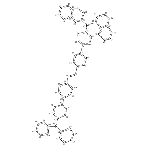 C(=C\c1ccc(-c2ccc(N(c3ccc4ccccc4c3)c3cccc4ccccc34)cc2)cc1)/c1ccc(-c2ccc(N(c3ccccc3)c3ccccc3)cc2)cc1